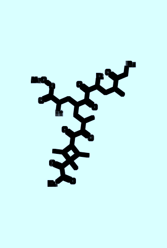 CCC(C)CC(=O)C(C)CC(CC)C(=O)C(=O)C(CC(C)C(=O)C(=O)C1C(C)C(C)(C(=O)C(=O)C(C)CC)C1C)CC(CC)C(=O)OOC